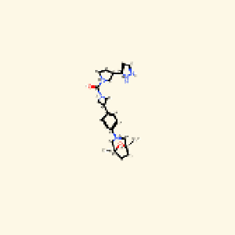 O=C(N1CC(c2ccc(N3C[C@H]4CC[C@@H](C3)O4)cc2)C1)N1CCC(c2ccn[nH]2)C1